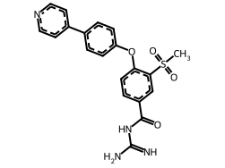 CS(=O)(=O)c1cc(C(=O)NC(=N)N)ccc1Oc1ccc(-c2ccncc2)cc1